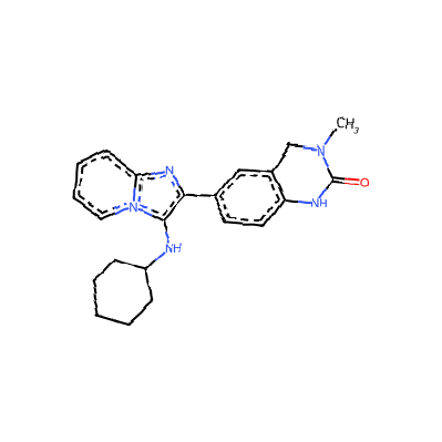 CN1Cc2cc(-c3nc4ccccn4c3NC3CCCCC3)ccc2NC1=O